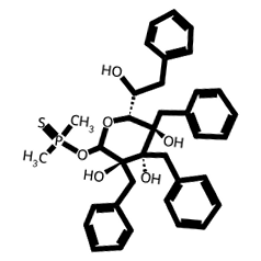 CP(C)(=S)OC1O[C@H](C(O)Cc2ccccc2)[C@](O)(Cc2ccccc2)[C@@](O)(Cc2ccccc2)[C@]1(O)Cc1ccccc1